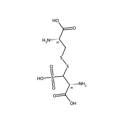 N[C@H](C(=O)O)C(SSC[C@H](N)C(=O)O)S(=O)(=O)O